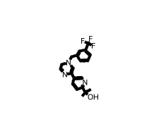 CC(C)(O)c1ccc(C2=CN(Cc3cccc(C(F)(F)F)c3)CC=N2)cn1